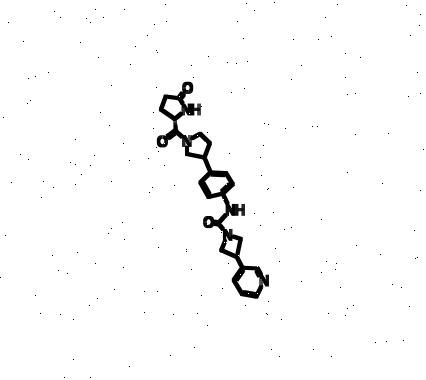 O=C1CC[C@H](C(=O)N2CCC(c3ccc(NC(=O)N4CC(c5cccnc5)C4)cc3)C2)N1